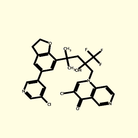 CC(C)(CC(O)(Cn1cc(Cl)c(=O)c2cnccc21)C(F)(F)F)c1cc(-c2cncc(Cl)c2)cc2c1OCC2